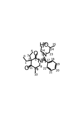 CCC1(CC)C(=O)NC[C@@H](C)C1=O.CCN(Cc1ccccc1)CC(C)O